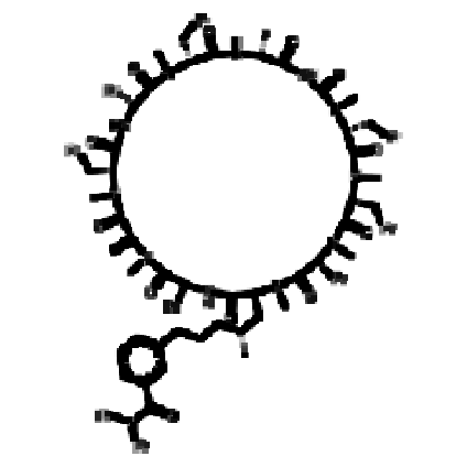 C=C1C(=O)N(C)[C@@H](CC(C)C)C(=O)N[C@H](C(C)C)C(=O)N(C)[C@H](CC(C)C)C(=O)N[C@H](C)C(=O)NC(=O)N(C)[C@H](CC(C)C)C(=O)N(C)[C@@H](CC(C)C)C(=O)N(C)[C@@H](C(C)C)C(=O)N(C)C(C[C@H](C)CCCc2cccc(C(=O)N(C(C)C)C(C)C)c2)C(=O)N[C@@H](CC)C(=O)N1C